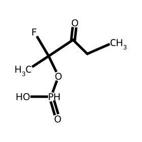 CCC(=O)C(C)(F)O[PH](=O)O